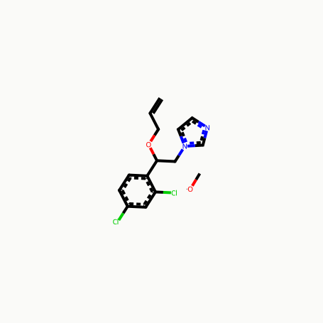 C=CCOC(Cn1ccnc1)c1ccc(Cl)cc1Cl.C[O]